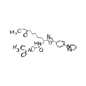 CCC(=O)CCCCCC(CNC(=O)C1CN(C(C)=O)C1)c1ncc(-c2ccc(-n3cccn3)cc2)o1